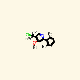 CCCC(Cl)(CCC)c1cnc(-c2c(CC)cccc2CC)cc1OCC